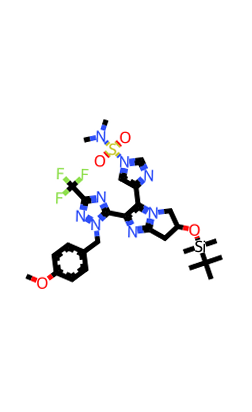 COc1ccc(Cn2nc(C(F)(F)F)nc2-c2nc3n(c2-c2cn(S(=O)(=O)N(C)C)cn2)CC(O[Si](C)(C)C(C)(C)C)C3)cc1